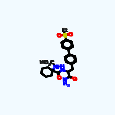 CCS(=O)(=O)c1ccc(-c2ccc(CC(NC(=O)C3(NC(=O)O)CCCCC3)C(N)=O)cc2)cc1